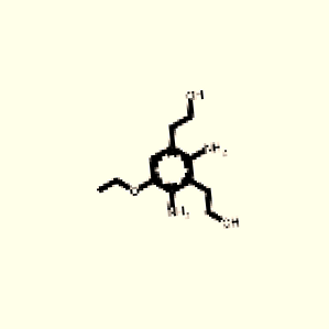 CCOc1cc(CCO)c(N)c(CCO)c1N